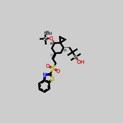 CC(C)(C[C@@H]1C/C(=C\CS(=O)(=O)c2nc3ccccc3s2)C[C@@H](O[Si](C)(C)C(C)(C)C)C12CC2)[Si](C)(C)O